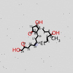 CCC=CC(C)(O)CCC[C@H]1[C@H](O)CC(=O)[C@@H]1CC/C=C\CCC(=O)CO